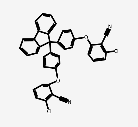 N#Cc1c(Cl)cccc1Oc1ccc(C2(c3ccc(Oc4cccc(Cl)c4C#N)cc3)c3ccccc3-c3ccccc32)cc1